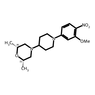 COc1cc(N2CCC(N3C[C@@H](C)O[C@@H](C)C3)CC2)ccc1[N+](=O)[O-]